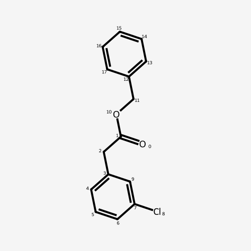 O=C(Cc1cccc(Cl)c1)OCc1ccccc1